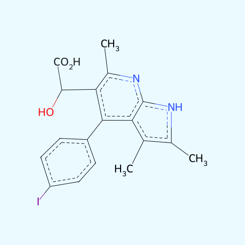 Cc1nc2[nH]c(C)c(C)c2c(-c2ccc(I)cc2)c1C(O)C(=O)O